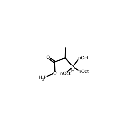 CCCCCCCC[PH](CCCCCCCC)(CCCCCCCC)C(C)C(=O)OP